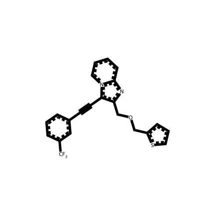 FC(F)(F)c1cccc(C#Cc2c(COCc3cccs3)nc3ccccn23)c1